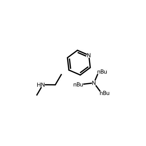 CCCCN(CCCC)CCCC.CCNC.c1ccncc1